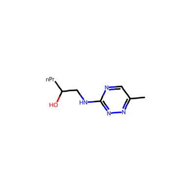 CCCC(O)CNc1ncc(C)nn1